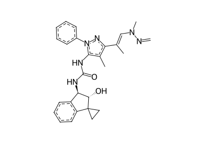 C=NN(C)/C=C(\C)c1nn(-c2ccccc2)c(NC(=O)N[C@@H]2c3ccccc3C3(CC3)[C@H]2O)c1C